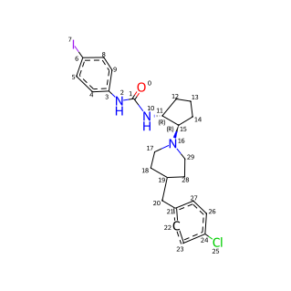 O=C(Nc1ccc(I)cc1)N[C@@H]1CCC[C@H]1N1CCC(Cc2ccc(Cl)cc2)CC1